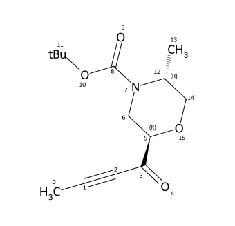 CC#CC(=O)[C@H]1CN(C(=O)OC(C)(C)C)[C@H](C)CO1